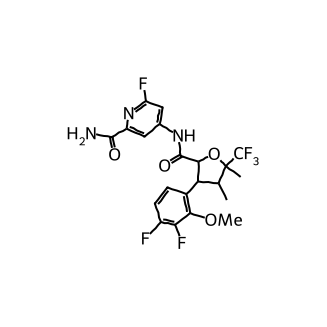 COc1c(C2C(C(=O)Nc3cc(F)nc(C(N)=O)c3)OC(C)(C(F)(F)F)C2C)ccc(F)c1F